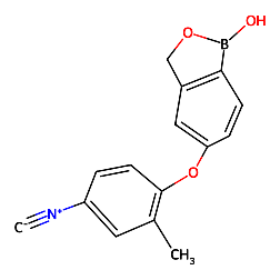 [C-]#[N+]c1ccc(Oc2ccc3c(c2)COB3O)c(C)c1